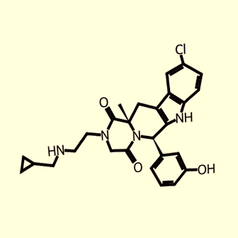 C[C@@]12Cc3c([nH]c4ccc(Cl)cc34)[C@@H](c3cccc(O)c3)N1C(=O)CN(CCNCC1CC1)C2=O